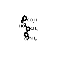 Cc1cc(-c2ccc3c(c2)[C@H](N)CO3)cc([C@H](O)Cn2ccc3cccc(C(=O)O)c32)c1